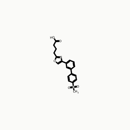 CS(=O)(=O)c1ccc(-c2cccc(-c3coc(CCCC(=O)O)n3)c2)cc1